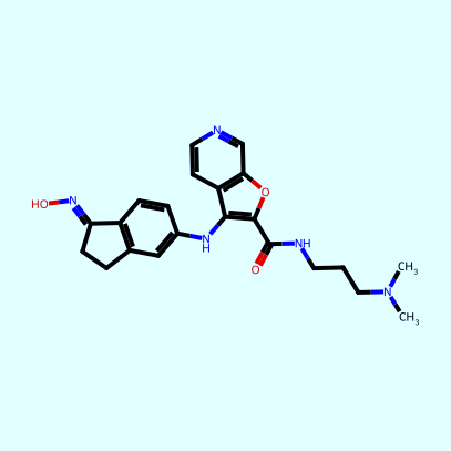 CN(C)CCCNC(=O)c1oc2cnccc2c1Nc1ccc2c(c1)CC/C2=N\O